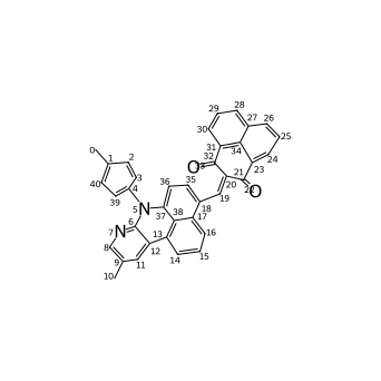 Cc1ccc(N2c3ncc(C)cc3-c3cccc4c(C=c5c(=O)c6cccc7cccc(c5=O)c76)ccc2c34)cc1